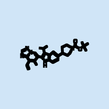 C=Cc1c(C)c(-c2[nH]c3ccc(C4CCN(C(=O)OC(C)(C)C)CC4)cc3c2C(C)C)cn2ncnc12